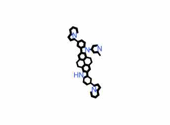 Cc1cc(-n2c3ccc(-c4ccc5ccccn45)cc3c3cc4c5c(c32)CCc2cc3c6c([nH]c3c(c2-5)CC4)C=CC(c2ccc3ccccn23)C6)ccn1